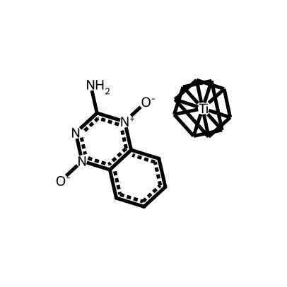 Nc1n[n+]([O-])c2ccccc2[n+]1[O-].[CH]12[CH]3[CH]4[CH]5[CH]1[Ti]23451678[CH]2[CH]1[CH]6[CH]7[CH]28